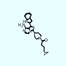 CN(C)CCCC(=O)N1CCC(c2nc(-c3cc4ccccc4[nH]3)c3c(N)nccn23)CC1